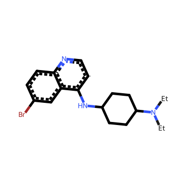 CCN(CC)C1CCC(Nc2[c]cnc3ccc(Br)cc23)CC1